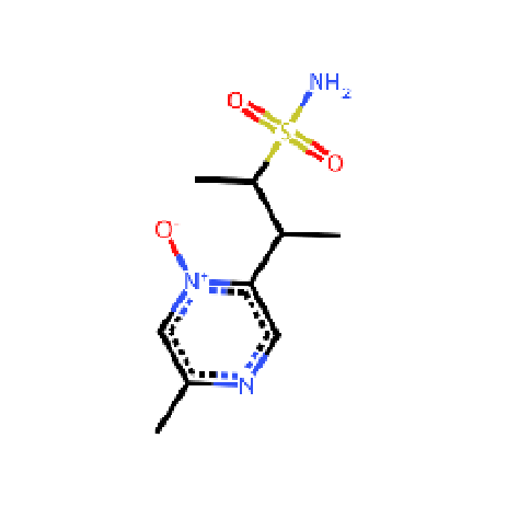 Cc1c[n+]([O-])c(C(C)C(C)S(N)(=O)=O)cn1